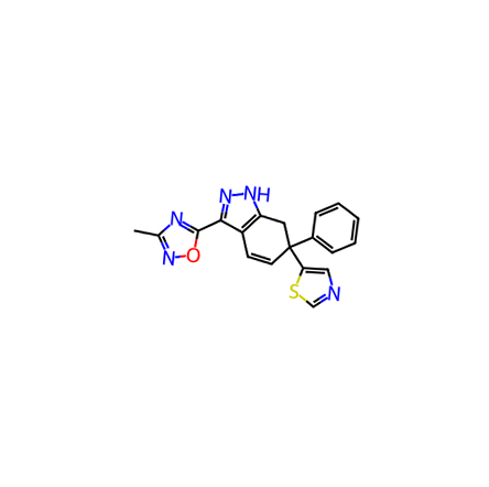 Cc1noc(-c2n[nH]c3c2C=CC(c2ccccc2)(c2cncs2)C3)n1